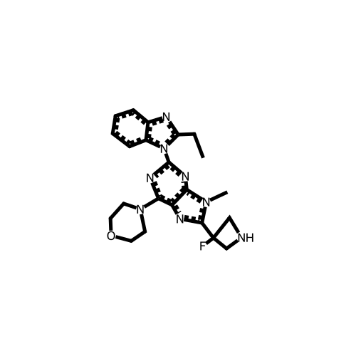 CCc1nc2ccccc2n1-c1nc(N2CCOCC2)c2nc(C3(F)CNC3)n(C)c2n1